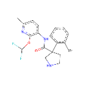 Cc1ccc(NC(=O)C2(c3ccccc3C(C)C)CCNC2)c(OC(F)F)n1